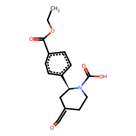 CCOC(=O)c1ccc([C@@H]2CC(=C=O)CCN2C(=O)O)cc1